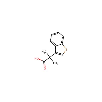 CC(C)(C(=O)O)c1csc2ccccc12